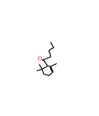 CCCCC(=O)C1C(C)=CCCC1(C)C